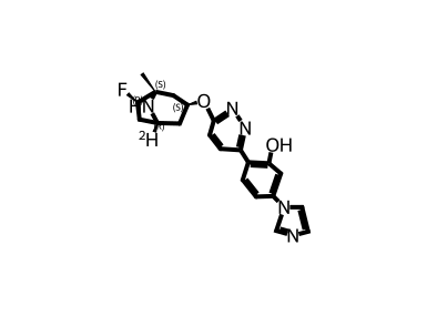 [2H][C@]12C[C@H](Oc3ccc(-c4ccc(-n5ccnc5)cc4O)nn3)C[C@](C)(N1)[C@H](F)C2